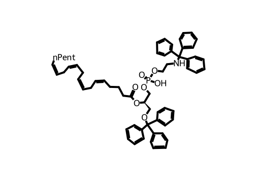 CCCCC/C=C\C/C=C\C/C=C\C/C=C\CCCC(=O)O[C@H](COC(c1ccccc1)(c1ccccc1)c1ccccc1)COP(=O)(O)OCCNC(c1ccccc1)(c1ccccc1)c1ccccc1